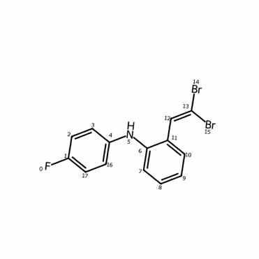 Fc1ccc(Nc2ccccc2C=C(Br)Br)cc1